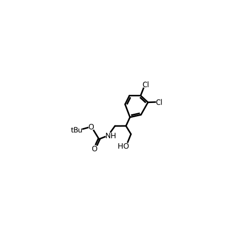 CC(C)(C)OC(=O)NCC(CO)c1ccc(Cl)c(Cl)c1